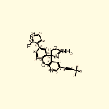 CC(C)(C)C#Cc1cnc2c(c1)C1(COC(N)=N1)c1cc(-c3cccnc3F)ccc1O2